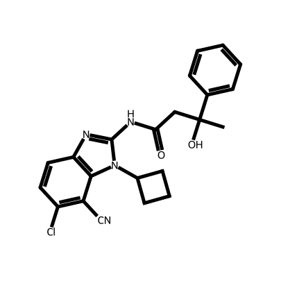 CC(O)(CC(=O)Nc1nc2ccc(Cl)c(C#N)c2n1C1CCC1)c1ccccc1